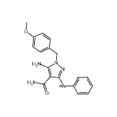 COc1ccc(Cn2nc(Nc3ccccc3)c(C(N)=O)c2N)cc1